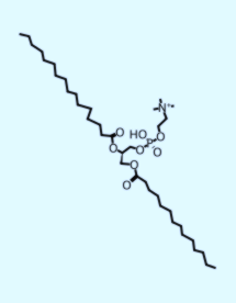 CCCCCCCCCCCCCCCC(=O)O[C@H](COC(=O)CCCCCCCCCCCCC)COP(=O)(O)OCC[N+](C)(C)C